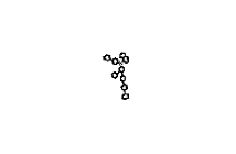 c1ccc(-c2ccc(-c3ccc(-c4ccc(N(c5ccc(-c6ccccc6)cc5)c5cccc6ccccc56)cc4-c4ccccc4)cc3)cc2)cc1